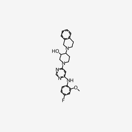 COc1cc(F)ccc1Nc1cc(N2CCC(N3CCc4ccccc4C3)C(O)C2)ncn1